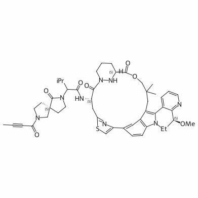 CC#CC(=O)N1CC[C@]2(CCN(C(C(=O)N[C@H]3Cc4nc(cs4)-c4ccc5c(c4)c(c(-c4cccnc4[C@H](C)OC)n5CC)CC(C)(C)COC(=O)[C@@H]4CCCN(N4)C3=O)C(C)C)C2=O)C1